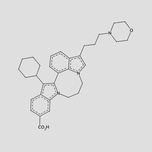 O=C(O)c1ccc2c(C3CCCCC3)c3n(c2c1)CCCn1cc(CCCN2CCOCC2)c2cccc-3c21